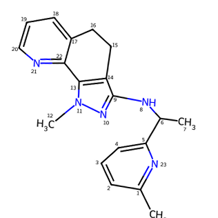 Cc1cccc(C(C)Nc2nn(C)c3c2CCc2cccnc2-3)n1